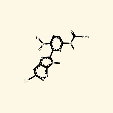 CC[S+]([O-])c1ccc(N(C)C(=O)NC)nc1-c1nc2cc(C(F)(F)F)nnc2n1C